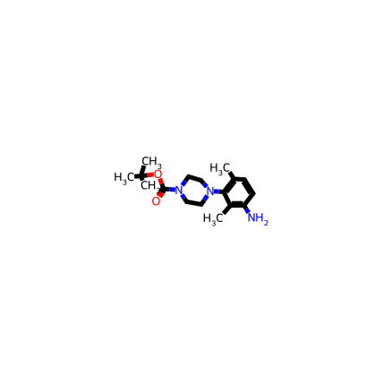 Cc1ccc(N)c(C)c1N1CCN(C(=O)OC(C)(C)C)CC1